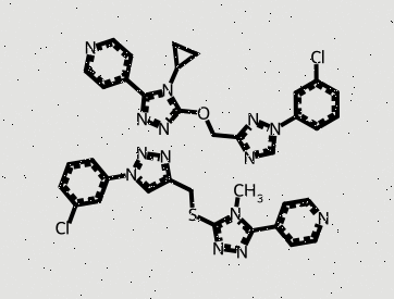 Clc1cccc(-n2cnc(COc3nnc(-c4ccncc4)n3C3CC3)n2)c1.Cn1c(SCc2cn(-c3cccc(Cl)c3)nn2)nnc1-c1ccncc1